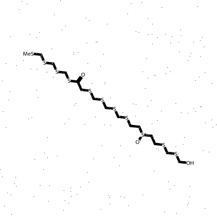 CSCSCSCSC(=O)CSCSCSCSCC[S+]([O-])CCSCSCO